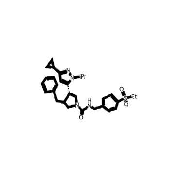 CCS(=O)(=O)c1ccc(CNC(=O)N2CC(Cc3ccccc3)[C@H](c3cc(C4CC4)nn3C(C)C)C2)cc1